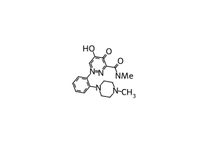 CNC(=O)c1nn(-c2ccccc2N2CCN(C)CC2)cc(O)c1=O